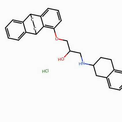 Cl.OC(CNC1CCc2ccccc2C1)COc1cccc2c1C1CCC2c2ccccc21